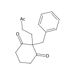 CC(=O)CCC1(Cc2ccccc2)C(=O)CCCC1=O